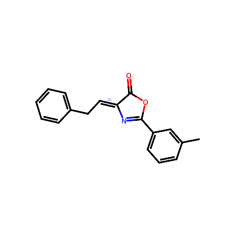 Cc1cccc(C2=N/C(=C\Cc3ccccc3)C(=O)O2)c1